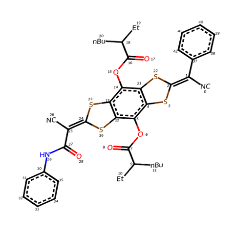 [C-]#[N+]C(=C1Sc2c(OC(=O)C(CC)CCCC)c3c(c(OC(=O)C(CC)CCCC)c2S1)SC(=C(C#N)C(=O)Nc1ccccc1)S3)c1ccccc1